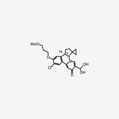 COCCCOc1cc2c(cc1Cl)-c1cc(=O)c(C(O)O)cn1N1[C@@H]2CCC12CC2